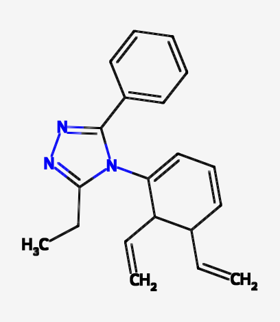 C=CC1C=CC=C(n2c(CC)nnc2-c2ccccc2)C1C=C